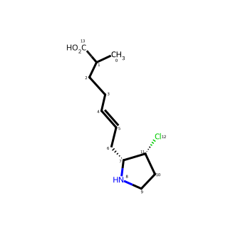 CC(CCC=CC[C@H]1NCC[C@H]1Cl)C(=O)O